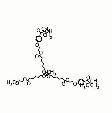 COCCOC(=O)CCCCCO[Si](C)(OCCCCCC(=O)OCCOc1ccc(C(=O)C(C)(C)C)cc1)OCCCCCC(=O)OCCOc1ccc(C(=O)C(C)(C)O)cc1